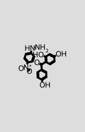 NNc1ccc([N+](=O)[O-])cc1.O=C(c1ccc(O)cc1)c1ccc(O)cc1O